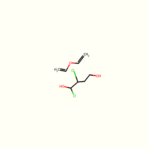 C=COC=C.OCCC(Cl)C(O)Cl